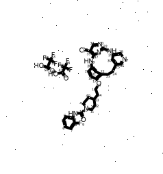 O=C(Nc1ccccc1F)N1CCC(CCOc2ccc3cc2CCc2cncc(c2)Nc2ncc(Cl)c(n2)N3)CC1.O=C(O)C(F)(F)F.O=C(O)C(F)(F)F